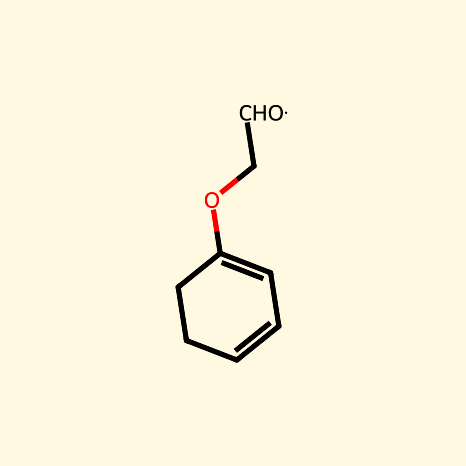 O=[C]COC1=CC=CCC1